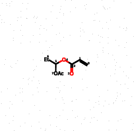 C=CC(=O)OC(CC)OC(C)=O